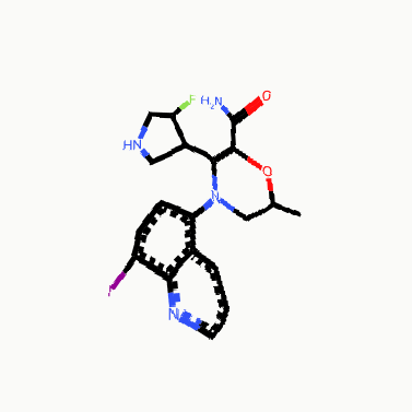 CC1CN(c2ccc(I)c3ncccc23)C(C2CNCC2F)C(C(N)=O)O1